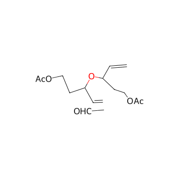 C=CC(CCOC(C)=O)OC(C=C)CCOC(C)=O.CC=O